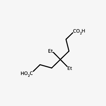 CCC(CC)(CCC(=O)O)CCC(=O)O